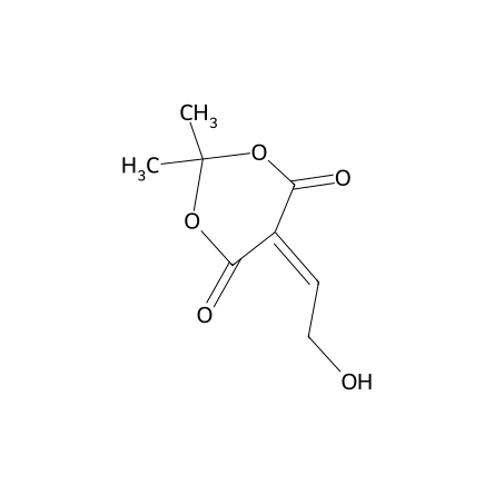 CC1(C)OC(=O)C(=CCO)C(=O)O1